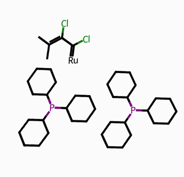 C1CCC(P(C2CCCCC2)C2CCCCC2)CC1.C1CCC(P(C2CCCCC2)C2CCCCC2)CC1.CC(C)=C(Cl)[C](Cl)=[Ru]